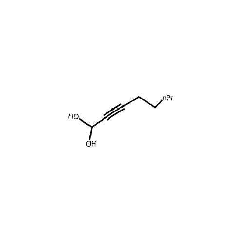 CCCCCC#CC(O)O